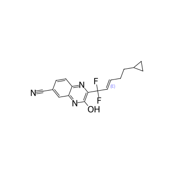 N#Cc1ccc2nc(C(F)(F)/C=C/CCC3CC3)c(O)nc2c1